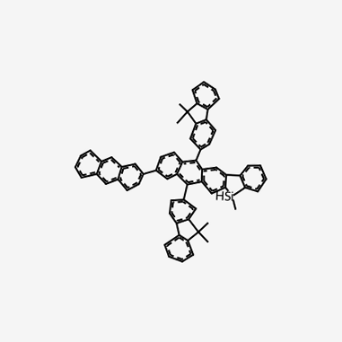 C[SiH]1c2ccccc2-c2cc3c(-c4ccc5c(c4)C(C)(C)c4ccccc4-5)c4ccc(-c5ccc6cc7ccccc7cc6c5)cc4c(-c4ccc5c(c4)C(C)(C)c4ccccc4-5)c3cc21